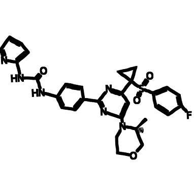 C[C@H]1COCCN1c1cc(C2(S(=O)(=O)c3ccc(F)cc3)CC2)nc(-c2ccc(NC(=O)Nc3ccccn3)cc2)n1